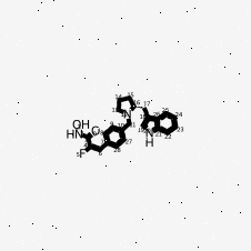 O=C(NO)/C(F)=C\c1ccc(CN2CCC[C@@H]2Cc2c[nH]c3ccccc23)cc1